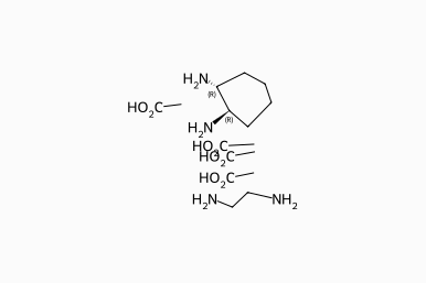 CC(=O)O.CC(=O)O.CC(=O)O.CC(=O)O.NCCN.N[C@@H]1CCCC[C@H]1N